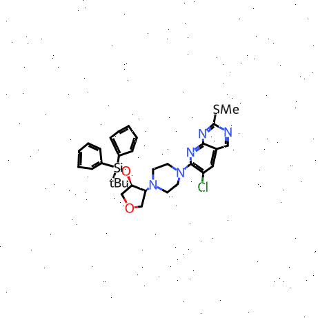 CSc1ncc2cc(Cl)c(N3CCN([C@H]4COC[C@H]4O[Si](c4ccccc4)(c4ccccc4)C(C)(C)C)CC3)nc2n1